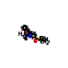 CN(c1nc2cc(C(=O)SCC(C)(C)C)ccc2nc1-c1cc2ccccc2o1)C1CC1